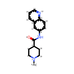 CC(=O)N1CCC(C(=O)Nc2ccc3ncccc3c2)CC1